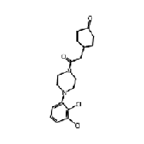 O=C1CCC(CC(=O)N2CCN(c3cccc(Cl)c3Cl)CC2)CC1